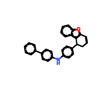 C1=Cc2oc3ccccc3c2C(c2ccc(Nc3ccc(-c4ccccc4)cc3)cc2)C1